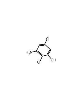 Nc1cc(Cl)cc(O)c1Cl